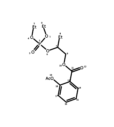 CCOP(=O)(OCC)OC(CC)COC(=O)c1ccccc1OC(C)=O